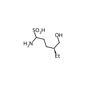 CC[C@H](CO)CCC(N)S(=O)(=O)O